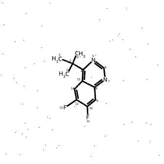 CC(C)(C)c1ncnc2cc(F)c(F)cc12